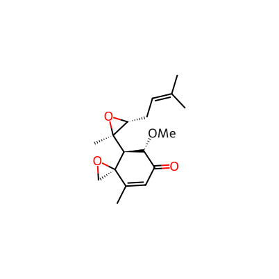 CO[C@@H]1C(=O)C=C(C)[C@]2(CO2)[C@H]1[C@@]1(C)O[C@@H]1CC=C(C)C